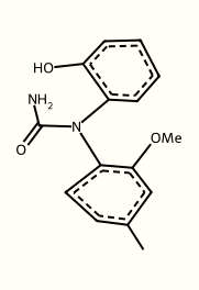 COc1cc(C)ccc1N(C(N)=O)c1ccccc1O